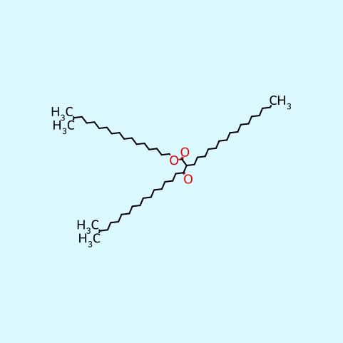 CCCCCCCCCCCCCCCCC(C(=O)CCCCCCCCCCCCCCC(C)C)C(=O)OCCCCCCCCCCCCCCCC(C)C